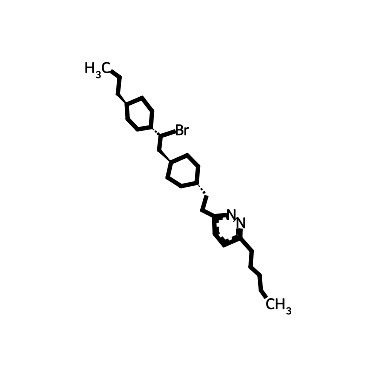 CCCCCc1ccc(CC[C@H]2CC[C@H](CC(Br)[C@H]3CC[C@H](CCC)CC3)CC2)nn1